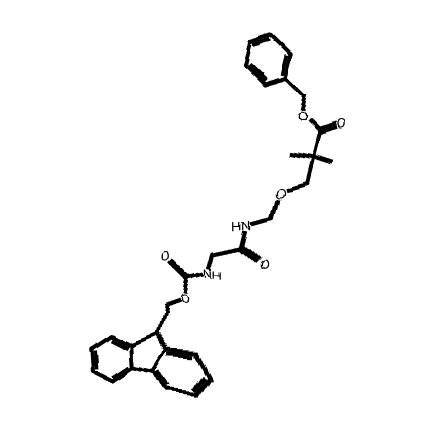 CC(C)(COCNC(=O)CNC(=O)OCC1c2ccccc2-c2ccccc21)C(=O)OCc1ccccc1